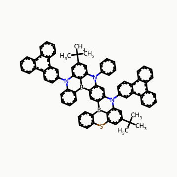 CC(C)(C)c1cc2c3c(c1)N(c1ccc4c5ccccc5c5ccccc5c4c1)c1cc4c(cc1B3c1ccccc1S2)B1c2ccccc2N(c2ccc3c5ccccc5c5ccccc5c3c2)c2cc(C(C)(C)C)cc(c21)N4c1ccccc1